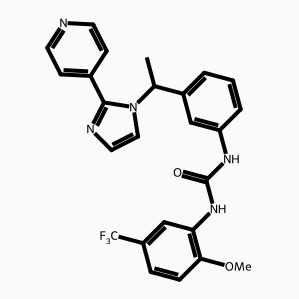 COc1ccc(C(F)(F)F)cc1NC(=O)Nc1cccc(C(C)n2ccnc2-c2ccncc2)c1